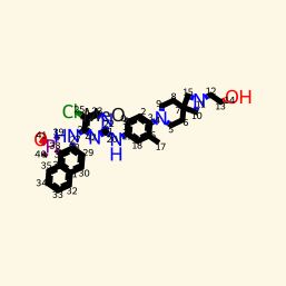 COc1cc(N2CCC3(CC2)CN(CCO)C3)c(C)cc1Nc1ncc(Cl)c(Nc2ccc3ccccc3c2P(C)(C)=O)n1